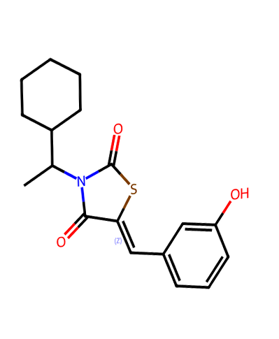 CC(C1CCCCC1)N1C(=O)S/C(=C\c2cccc(O)c2)C1=O